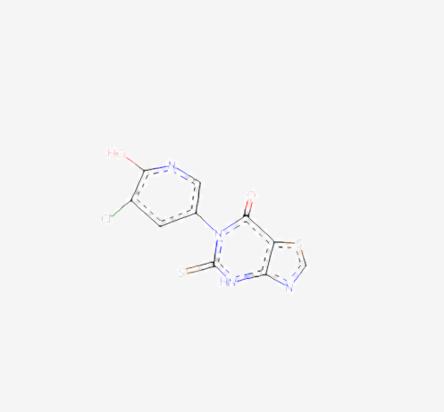 O=c1c2scnc2[nH]c(=S)n1-c1cnc(O)c(Cl)c1